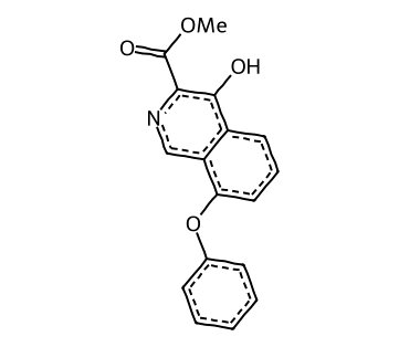 COC(=O)c1ncc2c(Oc3ccccc3)cccc2c1O